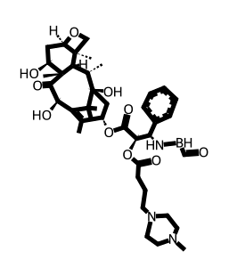 CC1=C2[C@@H](O)C(=O)[C@@]3(C)[C@H]([C@H](C)[C@](O)(C[C@@H]1OC(=O)[C@H](OC(=O)CCCN1CCN(C)CC1)[C@@H](NBC=O)c1ccccc1)C2(C)C)[C@]1(C)CO[C@@H]1C[C@@H]3O